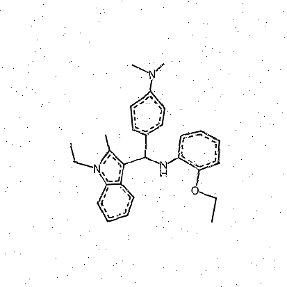 CCOc1ccccc1NC(c1ccc(N(C)C)cc1)c1c(C)n(CC)c2ccccc12